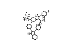 CCS(=O)(=O)Nc1cc2oc(-c3ccc(F)cc3)c(C(=O)NC)c2cc1-c1cccc(-c2[nH]c3ccccc3c2-c2cccnc2)c1